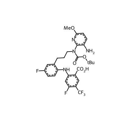 COc1ccc(N)c(N(CCCc2cc(F)ccc2Nc2cc(F)c(C(F)(F)F)cc2C(=O)O)C(=O)OC(C)(C)C)n1